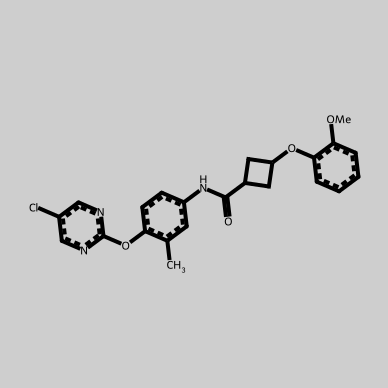 COc1ccccc1OC1CC(C(=O)Nc2ccc(Oc3ncc(Cl)cn3)c(C)c2)C1